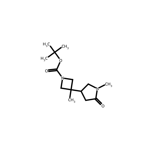 CN1CC(C2(C)CN(C(=O)OC(C)(C)C)C2)CC1=O